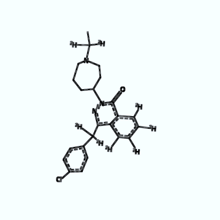 [2H]c1c([2H])c([2H])c2c(=O)n(C3CCCN(C([2H])([2H])C)CC3)nc(C([2H])([2H])c3ccc(Cl)cc3)c2c1[2H]